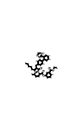 CCCCCc1c(Cc2ccc(-c3ccccc3-c3nnn[nH]3)cc2)c(=O)n2n1C(C)C=CC2C(=O)Oc1cccc(C(=O)OCC)c1